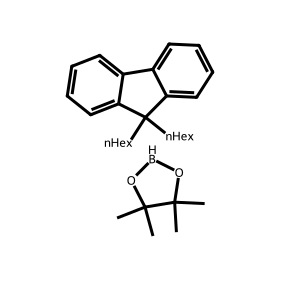 CC1(C)OBOC1(C)C.CCCCCCC1(CCCCCC)c2ccccc2-c2ccccc21